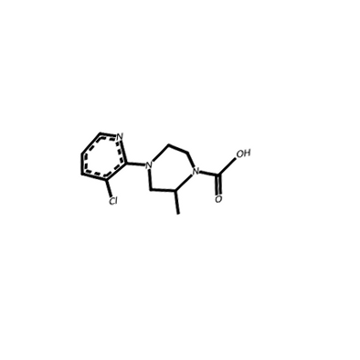 CC1CN(c2ncccc2Cl)CCN1C(=O)O